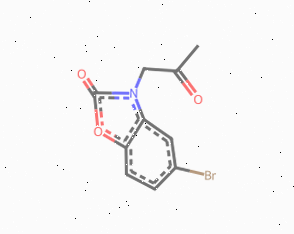 CC(=O)Cn1c(=O)oc2ccc(Br)cc21